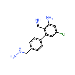 N=Cc1c(N)cc(Cl)cc1-c1ccc(CNN)cc1